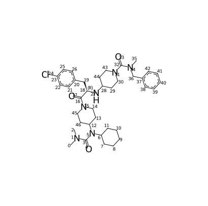 CN(C)C(=O)N(C1CCCCC1)C1CCN(C(=O)[C@@H](Cc2ccc(Cl)cc2)NC2CCN(C(=O)N(C)Cc3ccccc3)CC2)CC1